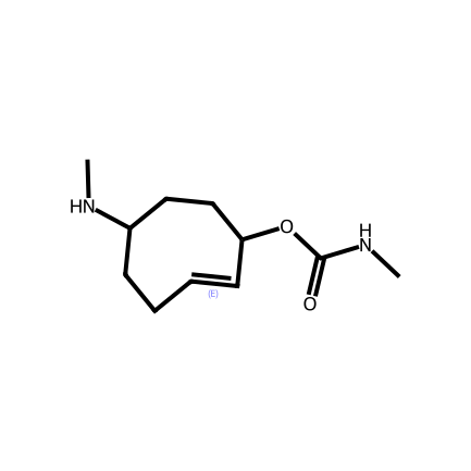 CNC(=O)OC1/C=C/CCC(NC)CC1